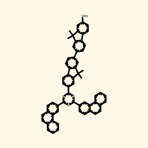 COc1ccc2c(c1)C(C)(C)c1cc(-c3ccc4c(c3)C(C)(C)c3cc(-c5nc(-c6ccc7ccc8ccccc8c7c6)nc(-c6ccc7ccc8ccccc8c7c6)n5)ccc3-4)ccc1-2